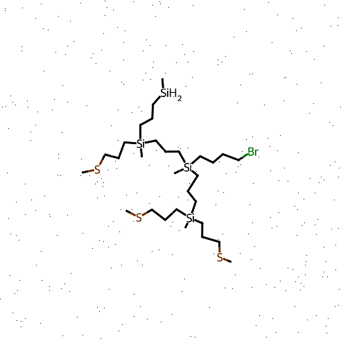 C[SiH2]CCC[Si](C)(CCCSC)CCC[Si](C)(CCCCBr)CCC[Si](C)(CCCSC)CCCSC